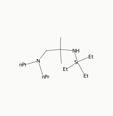 CCCN(CCC)CC(C)(C)N[Si](CC)(CC)CC